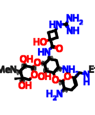 CCNCC1=CC[C@@H](N)[C@@H](OC2[C@@H](N)C[C@@H](NC(=O)C3(O)CC(NC(=N)N)C3)[C@H](O[C@H]3OC[C@](C)(O)[C@H](NC)[C@H]3O)[C@H]2O)O1